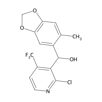 Cc1cc2c(cc1C(O)c1c(C(F)(F)F)ccnc1Cl)OCO2